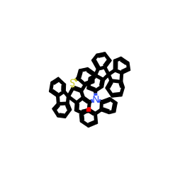 c1ccc(-c2ccccc2N(c2ccc3c(c2)C2(c4ccccc4-c4ccccc42)c2ccccc2-3)c2cccc3c2-c2c(sc4ccccc24)C32c3ccccc3-c3ccccc32)cc1